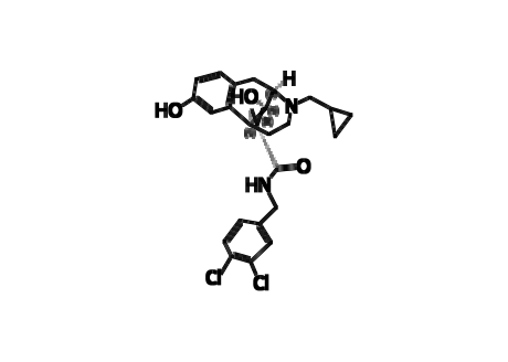 O=C(NCc1ccc(Cl)c(Cl)c1)[C@@H]1C[C@]23CCN(CC4CC4)[C@H](Cc4ccc(O)cc42)[C@]3(O)C1